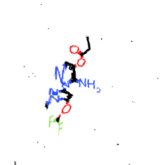 CCC(=O)Oc1cnn(-c2cc(OC(F)F)n(C)n2)c1N